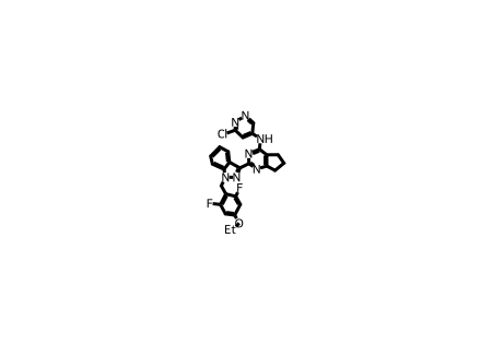 CCOc1cc(F)c(Cn2nc(-c3nc4c(c(Nc5cnnc(Cl)c5)n3)CCC4)c3ccccc32)c(F)c1